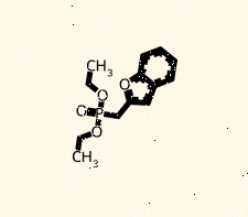 CCOP(=O)(Cc1cc2ccccc2o1)OCC